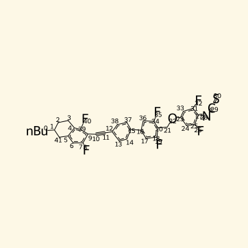 CCCCC1CCc2c(cc(F)c(C#Cc3ccc(-c4cc(F)c(COc5cc(F)c(N=C=S)c(F)c5)c(F)c4)cc3)c2F)C1